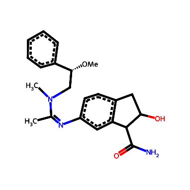 CO[C@H](CN(C)C(C)=Nc1ccc2c(c1)C(C(N)=O)C(O)C2)c1ccccc1